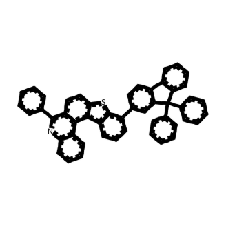 c1ccc(-c2nc3ccccc3c3c2ccc2sc4c(-c5ccc6c(c5)C(c5ccccc5)(c5ccccc5)c5ccccc5-6)cccc4c23)cc1